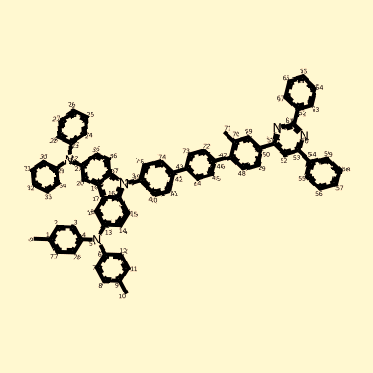 Cc1ccc(N(c2ccc(C)cc2)c2ccc3c(c2)c2cc(N(c4ccccc4)c4ccccc4)ccc2n3-c2ccc(-c3ccc(-c4ccc(-c5cc(-c6ccccc6)nc(-c6ccccc6)n5)cc4C)cc3)cc2)cc1